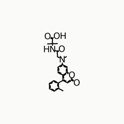 Cc1ccccc1-c1cc(=O)oc2cc(N(C)CC(=O)NC(C)(C)C(=O)O)ccc12